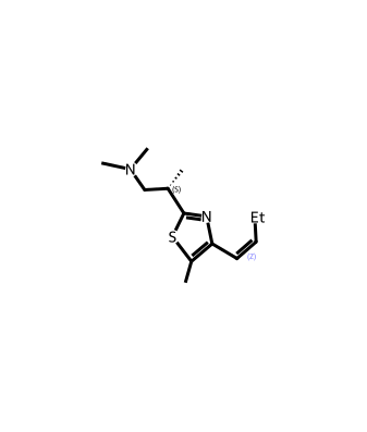 CC/C=C\c1nc([C@@H](C)CN(C)C)sc1C